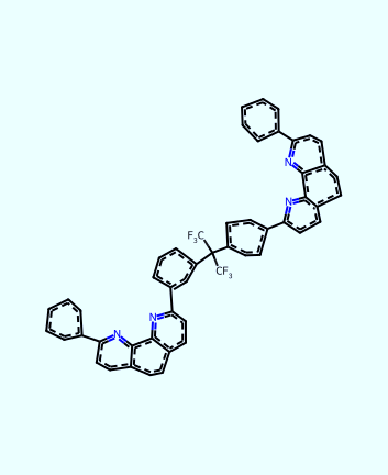 FC(F)(F)C(c1ccc(-c2ccc3ccc4ccc(-c5ccccc5)nc4c3n2)cc1)(c1cccc(-c2ccc3ccc4ccc(-c5ccccc5)nc4c3n2)c1)C(F)(F)F